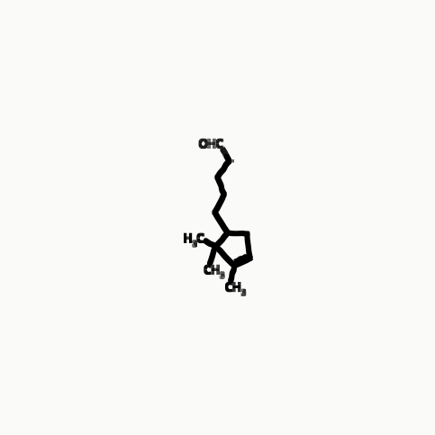 CC1=CCC(CCC[CH]C=O)C1(C)C